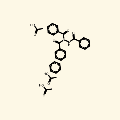 CC(=O)O.CC(=O)O.CC(=O)O.O=C(NN(C(=O)c1ccccc1)C(=O)c1ccccc1)c1ccccc1.c1ccccc1